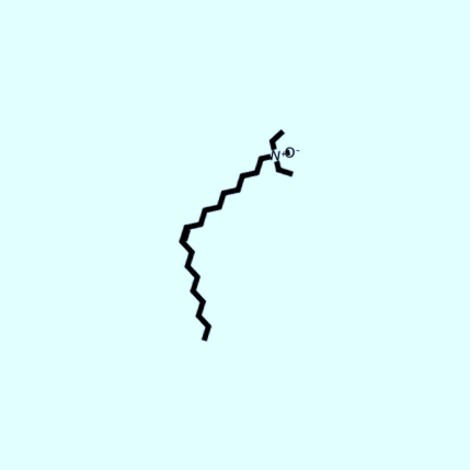 CCCCCCCC/C=C\CCCCCCCC[N+]([O-])(CC)CC